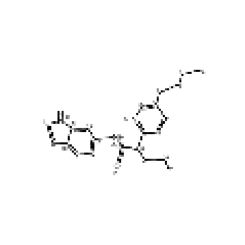 CCCCc1ccc(C(CCC)C(=O)Nc2ccc3cc[nH]c3c2)nc1